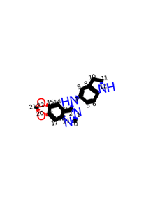 c1nc(Nc2ccc3c(c2)CCN3)c2cc3c(cc2n1)OCO3